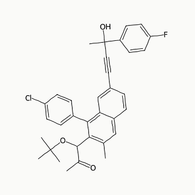 CC(=O)C(OC(C)(C)C)c1c(C)cc2ccc(C#CC(C)(O)c3ccc(F)cc3)cc2c1-c1ccc(Cl)cc1